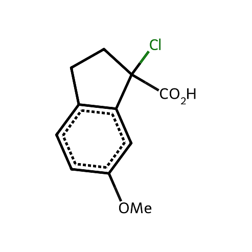 COc1ccc2c(c1)C(Cl)(C(=O)O)CC2